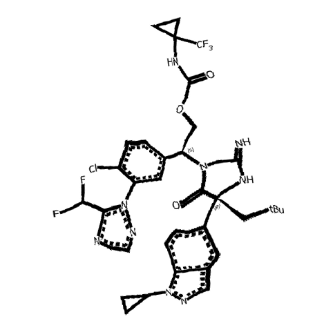 CC(C)(C)C[C@]1(c2ccc3c(cnn3C3CC3)c2)NC(=N)N([C@H](COC(=O)NC2(C(F)(F)F)CC2)c2ccc(Cl)c(-n3ncnc3C(F)F)c2)C1=O